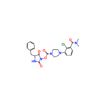 CN(C)C(=O)c1cccc(N2CCN(C(=O)ON3C(=O)NC(Cc4ccccc4)C3=O)CC2)c1Cl